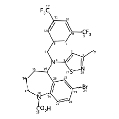 Cc1cc(N(Cc2cc(C(F)(F)F)cc(C(F)(F)F)c2)C2CCCN(C(=O)O)c3ccc(Br)cc32)sn1